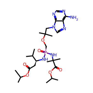 CC(C)OC(=O)C[C@H](N[P@@](=O)(COC(C)(C)Cn1cnc2c(N)ncnc21)NC(C)(C)C(=O)OC(C)C)C(C)C